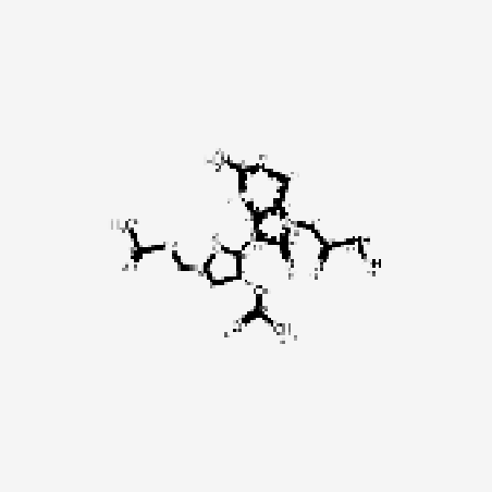 CC(=O)OC[C@@H]1C[C@@H](OC(C)=O)[C@H](n2c(=O)n(CC(=O)NO)c3cnc(N)nc32)O1